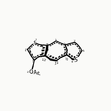 CC(=O)Oc1csc2cc3ccsc3cc12